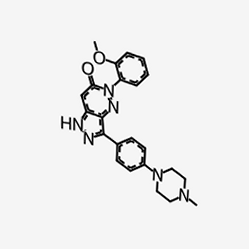 COc1ccccc1-n1nc2c(-c3ccc(N4CCN(C)CC4)cc3)n[nH]c2cc1=O